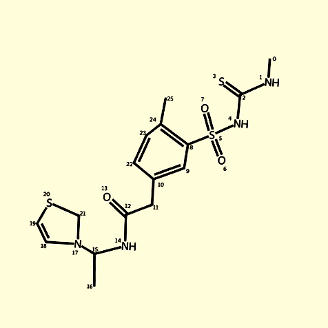 CNC(=S)NS(=O)(=O)c1cc(CC(=O)NC(C)N2C=CSC2)ccc1C